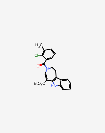 CCOC(=O)C1=CN(C(=O)c2cccc(C)c2Cl)CCc2c1[nH]c1ccccc21